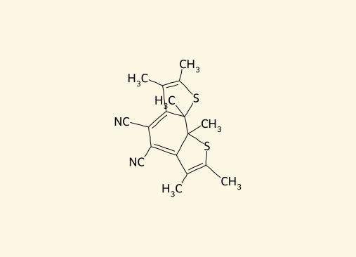 CC1=C(C)C2=C(C#N)C(C#N)=C3C(C)=C(C)SC3(C)C2(C)S1